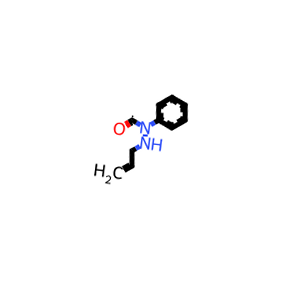 C=CCNN([C]=O)c1ccccc1